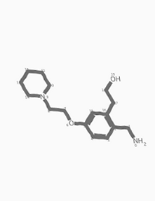 NCc1ccc(OCCN2CCCCC2)cc1CCO